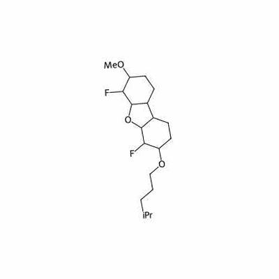 COC1CCC2C3CCC(OCCCC(C)C)C(F)C3OC2C1F